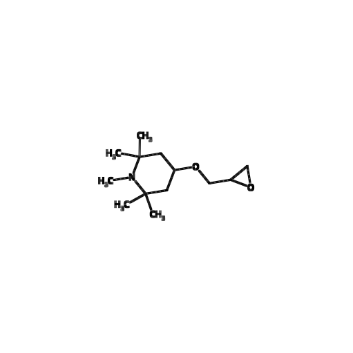 CN1C(C)(C)CC(OCC2CO2)CC1(C)C